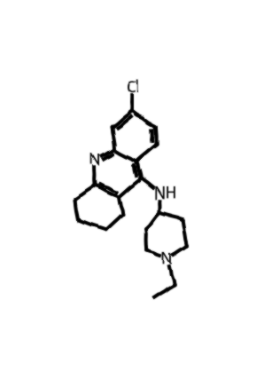 CCN1CCC(Nc2c3c(nc4cc(Cl)ccc24)CCCC3)CC1